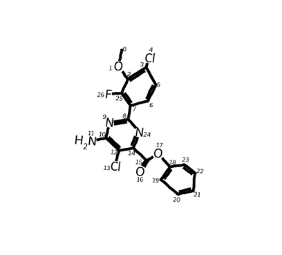 COc1c(Cl)ccc(-c2nc(N)c(Cl)c(C(=O)Oc3ccccc3)n2)c1F